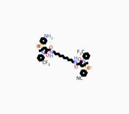 Cc1c([S+]([O-])c2ccc(N)cc2)cc(C(=O)NCCCCCCCCCCNC(=O)c2cc([S+]([O-])c3ccc(C#N)cc3)c(C)n(-c3cccc(C(F)(F)F)c3)c2=O)c(=O)n1-c1cccc(C(F)(F)F)c1